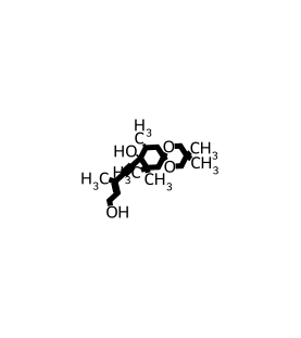 CC(C#C[C@@]1(O)[C@@H](C)CC2(CC1(C)C)OCC(C)(C)CO2)=CCO